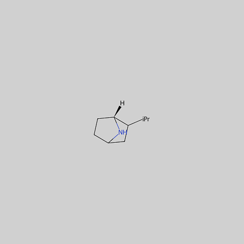 CC(C)C1CC2CC[C@H]1N2